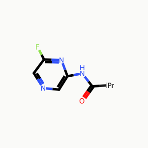 CC(C)C(=O)Nc1cncc(F)n1